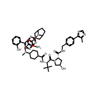 Cc1ncsc1-c1ccc(CNC(=O)[C@@H]2C[C@@H](O)CN2C(=O)[C@@H](NC(=O)C2CCC(N(C)Cc3cnc(N4C5CCC4CN(c4cc(-c6ccccc6O)nnc4N)C5)nc3)CC2)C(C)(C)C)cc1